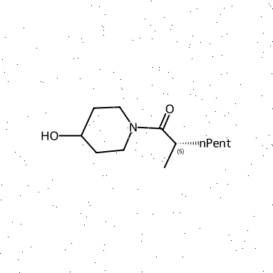 CCCCC[C@H](C)C(=O)N1CCC(O)CC1